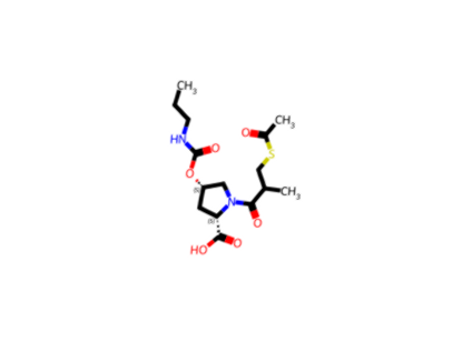 CCCNC(=O)O[C@H]1C[C@@H](C(=O)O)N(C(=O)C(C)CSC(C)=O)C1